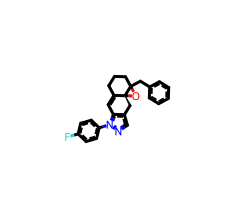 Fc1ccc(-n2ncc3c2C=C2CCCC4(Cc5ccccc5)O[C@]24C3)cc1